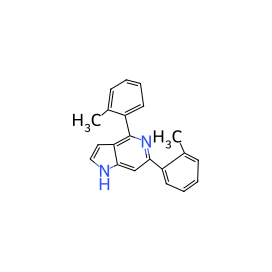 Cc1ccccc1-c1cc2[nH]ccc2c(-c2ccccc2C)n1